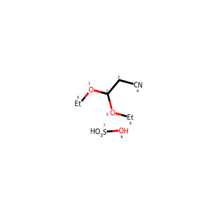 CCOC(CC#N)OCC.O=S(=O)(O)O